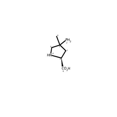 CC1(P)CN[C@H](C(=O)O)C1